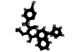 CC(C)CN(C(=O)Nc1ccc(F)cc1)[C@H](C)c1cnc(-n2cncn2)c2ccccc12